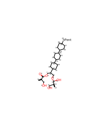 C=C(CO)C(=O)OCC(COC(O)C(=C)CO)C1CCC(C2CCC(C3CCC(CCCCC)CC3)CC2)CC1